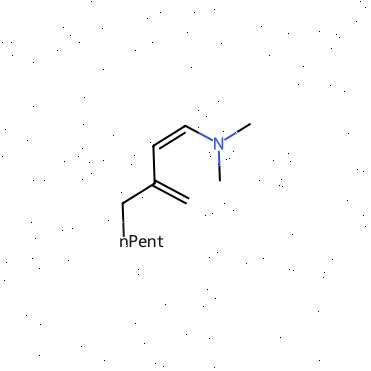 C=C(/C=C\N(C)C)CCCCCC